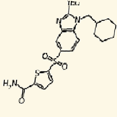 CC(C)(C)c1nc2cc(S(=O)(=O)c3ccc(C(N)=O)s3)ccc2n1CC1CCCCC1